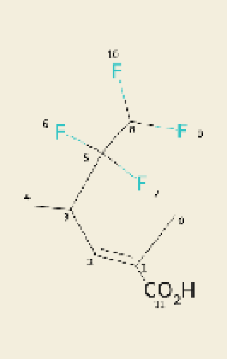 CC(=CC(C)C(F)(F)C(F)F)C(=O)O